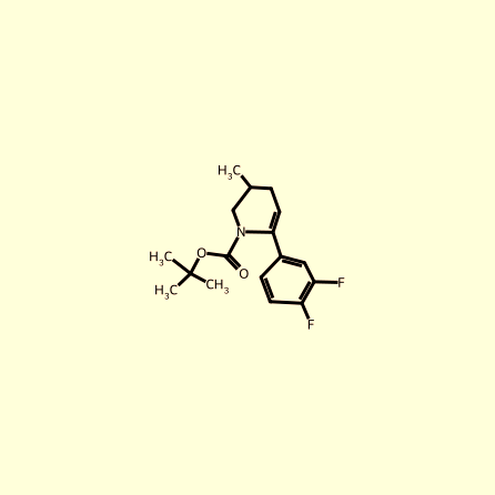 CC1CC=C(c2ccc(F)c(F)c2)N(C(=O)OC(C)(C)C)C1